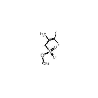 CC(CS(=O)(=O)OC#N)=C(F)F